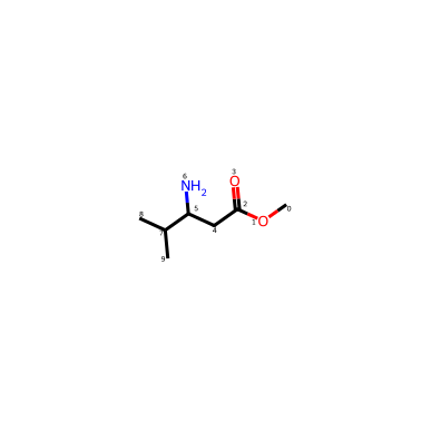 COC(=O)CC(N)C(C)C